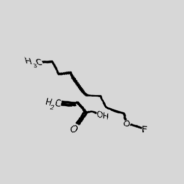 C=CC(=O)O.CCCCCCCCOF